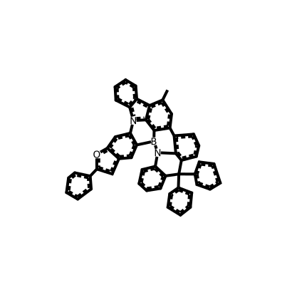 Cc1cc2c3c4c1c1ccccc1n4-c1cc4oc(-c5ccccc5)cc4cc1B3N1c3ccccc3C(c3ccccc3)(c3ccccc3)c3cccc-2c31